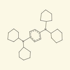 c1cc(N(C2CCCCC2)C2CCCCC2)ccc1N(C1CCCCC1)C1CCCCC1